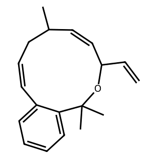 C=CC1/C=C\C(C)C/C=C\c2ccccc2C(C)(C)O1